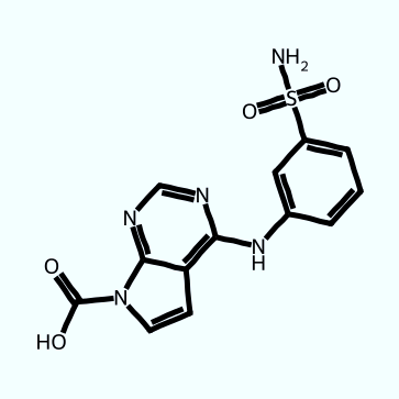 NS(=O)(=O)c1cccc(Nc2ncnc3c2ccn3C(=O)O)c1